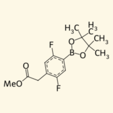 COC(=O)Cc1cc(F)c(B2OC(C)(C)C(C)(C)O2)cc1F